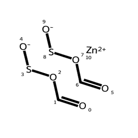 O=COS[O-].O=COS[O-].[Zn+2]